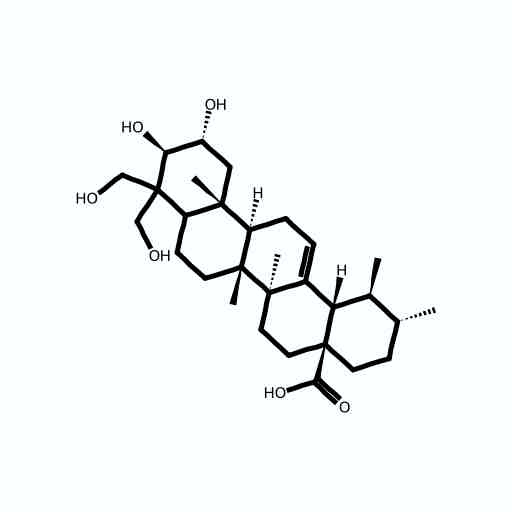 C[C@H]1[C@H](C)CC[C@]2(C(=O)O)CC[C@]3(C)C(=CC[C@@H]4[C@@]5(C)C[C@@H](O)[C@H](O)C(CO)(CO)C5CC[C@]43C)[C@H]12